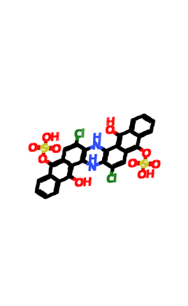 O=S(=O)(O)Oc1c2ccccc2c(O)c2c3c(c(Cl)cc12)Nc1c(c(Cl)cc2c(OS(=O)(=O)O)c4ccccc4c(O)c12)N3